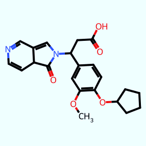 COc1cc(C(CC(=O)O)N2C=C3C=NC=CC3C2=O)ccc1OC1CCCC1